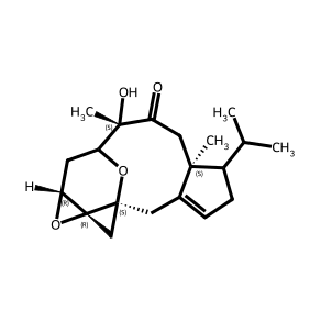 CC(C)C1CC=C2C[C@]34C[C@]35O[C@@H]5CC(O4)[C@](C)(O)C(=O)C[C@]21C